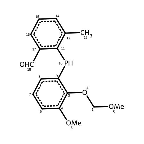 COCOc1c(OC)cccc1Pc1c(C)cccc1C=O